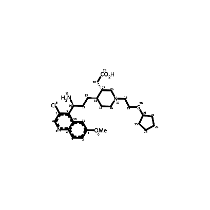 COc1ccc2ncc(Cl)c([C@@H](N)CC[C@@H]3CCN(CCSC4CCCC4)C[C@H]3CC(=O)O)c2c1